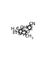 CCc1nc2cc(C)c(Oc3ccc(C#N)cc3)cc2c(O)c1C